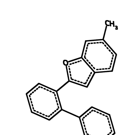 Cc1ccc2cc(-c3ccccc3-c3ccccc3)oc2c1